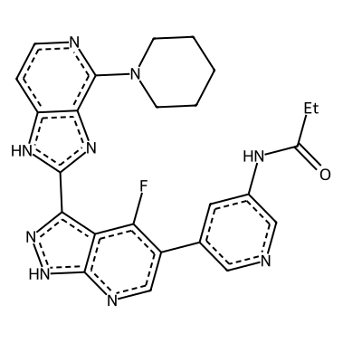 CCC(=O)Nc1cncc(-c2cnc3[nH]nc(-c4nc5c(N6CCCCC6)nccc5[nH]4)c3c2F)c1